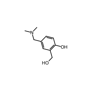 CN(C)Cc1ccc(O)c(CO)c1